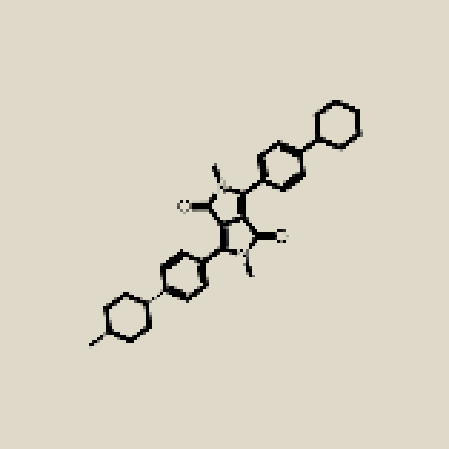 CN1C(=O)C2=C(c3ccc([C@H]4CC[C@H](C)CC4)cc3)N(C)C(=O)C2=C1c1ccc(C2CCCCC2)cc1